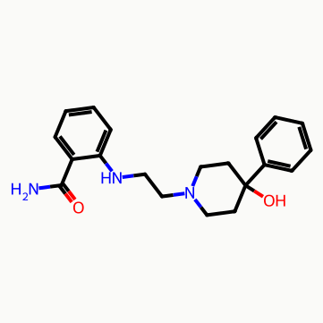 NC(=O)c1ccccc1NCCN1CCC(O)(c2ccccc2)CC1